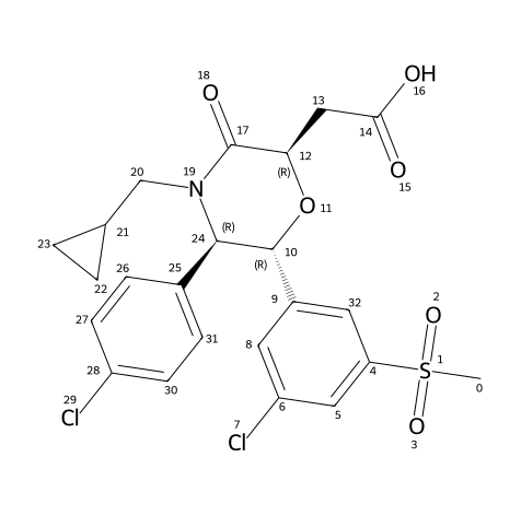 CS(=O)(=O)c1cc(Cl)cc([C@H]2O[C@H](CC(=O)O)C(=O)N(CC3CC3)[C@@H]2c2ccc(Cl)cc2)c1